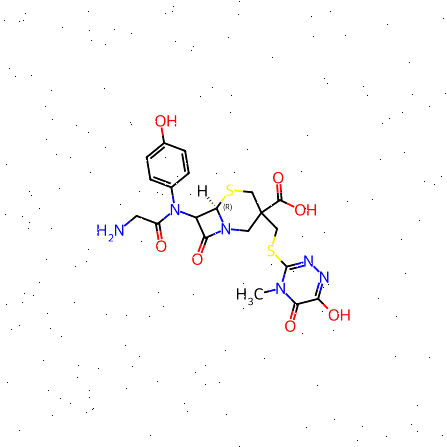 Cn1c(SCC2(C(=O)O)CS[C@@H]3C(N(C(=O)CN)c4ccc(O)cc4)C(=O)N3C2)nnc(O)c1=O